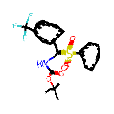 CC(C)(C)OC(=O)NC(c1cccc(C(F)(F)F)c1)S(=O)(=O)c1ccccc1